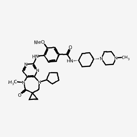 COc1cc(C(=O)N[C@H]2CC[C@@H](N3CCN(C)CC3)CC2)ccc1Nc1ncc2c(n1)N(C1CCCC1)CC1(CC1)C(=O)N2C